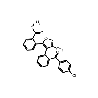 COC(=O)c1ccccc1-c1onc(C)c1-c1ccccc1C(=O)c1ccc(Cl)cc1